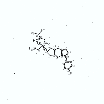 C[C@]12Cc3cnn(-c4ccc(F)cc4)c3C=C1CC[C@@H]2CN(CC(O)C(F)F)S(=O)(=O)CC(F)(F)F